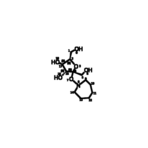 OC[C@H]1O[C@](CO)(ON2CCCCCC2)[C@H](O)[C@H]1O